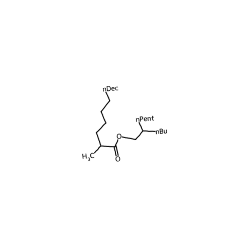 CCCCCCCCCCCCCCC(C)C(=O)OCC(CCCC)CCCCC